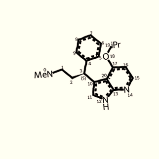 CNCC[C@@H](c1ccccc1)c1c[nH]c2nccc(OC(C)C)c12